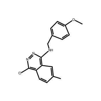 COc1ccc(CNc2nnc(Cl)c3ccc(C)cc23)cc1